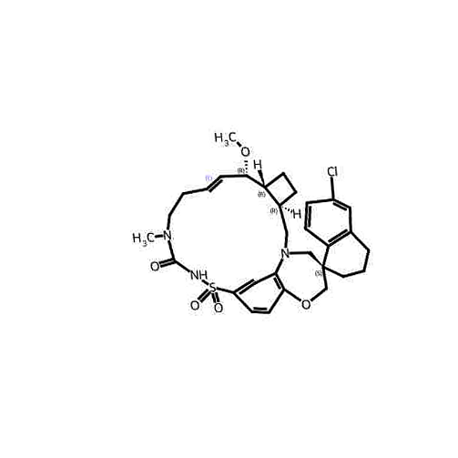 CO[C@H]1/C=C/CCN(C)C(=O)NS(=O)(=O)c2ccc3c(c2)N(C[C@@H]2CC[C@H]21)C[C@@]1(CCCc2cc(Cl)ccc21)CO3